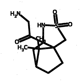 CC1(C)C2CCC13CS(=O)(=O)NC3(C(=O)CN)C2